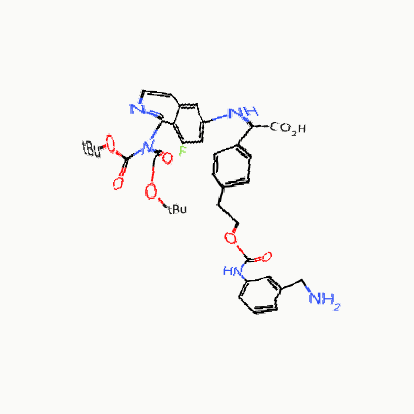 CC(C)(C)OC(=O)N(C(=O)OC(C)(C)C)c1nccc2cc(NC(C(=O)O)c3ccc(CCOC(=O)Nc4cccc(CN)c4)cc3)cc(F)c12